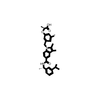 Cc1c(C)n(Cc2cc(F)cc(O[C@@H](C)C(=O)O)c2)c2ccc(C(=O)N[C@@H](C)c3cccc(C(C)C)c3)cc12